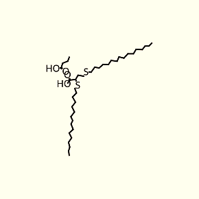 CCCC(=O)O.CCCCCCCCCCCCCCCCSCCC(SCCCCCCCCCCCCCCCC)C(=O)O